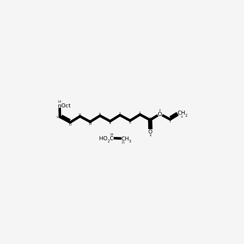 C=COC(=O)CCCCCCC/C=C\CCCCCCCC.CC(=O)O